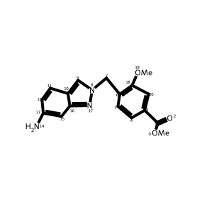 COC(=O)c1ccc(Cn2cc3ccc(N)cc3n2)c(OC)c1